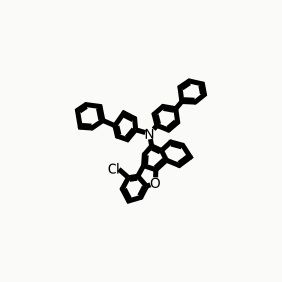 Clc1cccc2oc3c4ccccc4c(N(c4ccc(-c5ccccc5)cc4)c4ccc(-c5ccccc5)cc4)cc3c12